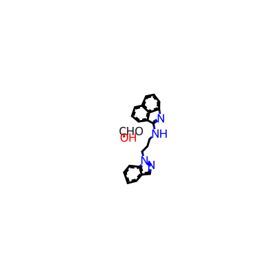 O=CO.c1cc2c3c(cccc3c1)C(NCCCn1ncc3ccccc31)=N2